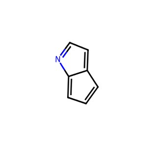 C1=CC2=CC=NC2=C1